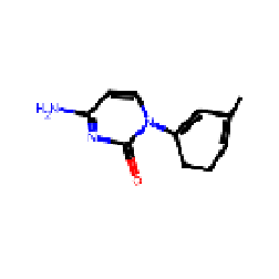 CC1=CCCC(n2ccc(N)nc2=O)=C1